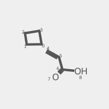 C1CCC1.C=CC(=O)O